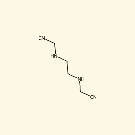 [C-]#[N+]CNCCNCC#N